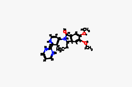 CCC1c2cc(OC)c(OC)cc2C(=O)N1c1ccnc(-c2ncccn2)c1